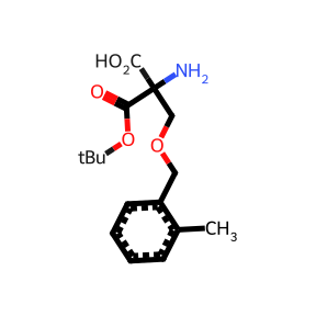 Cc1ccccc1COCC(N)(C(=O)O)C(=O)OC(C)(C)C